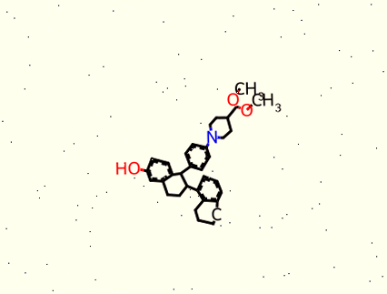 COC(OC)C1CCN(c2ccc(C3c4ccc(O)cc4CCC3c3cccc4c3CCCC4)cc2)CC1